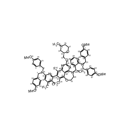 COc1ccc(CN(Cc2ccc(OC)cc2)c2cc(C)c(C(F)(F)F)c(-c3c(Cl)c4c5c(nc(OC[C@H]6CN(C)CCO6)nc5c3F)N([C@H](C)c3cccnc3N(Cc3ccc(OC)cc3)Cc3ccc(OC)cc3)CCO4)n2)cc1